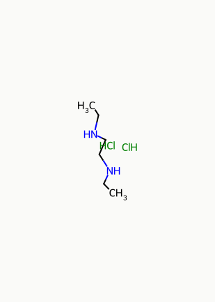 CCNCCNCC.Cl.Cl